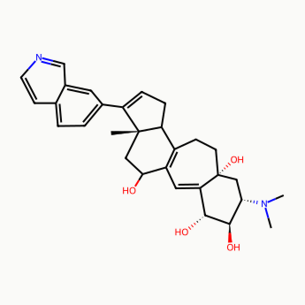 CN(C)[C@H]1C[C@]2(O)CCC3=C(C=C2[C@@H](O)[C@@H]1O)C(O)C[C@]1(C)C(c2ccc4ccncc4c2)=CCC31